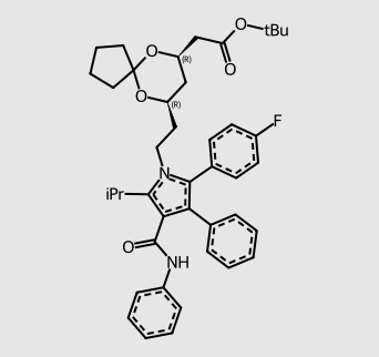 CC(C)c1c(C(=O)Nc2ccccc2)c(-c2ccccc2)c(-c2ccc(F)cc2)n1CC[C@@H]1C[C@H](CC(=O)OC(C)(C)C)OC2(CCCC2)O1